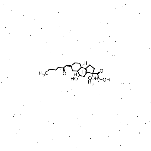 CCCCC(=O)/C=C1/CC[C@@H]2[C@@H](C1)[C@@H](O)C[C@@]1(C)[C@H]2CC[C@]1(O)C(=O)CO